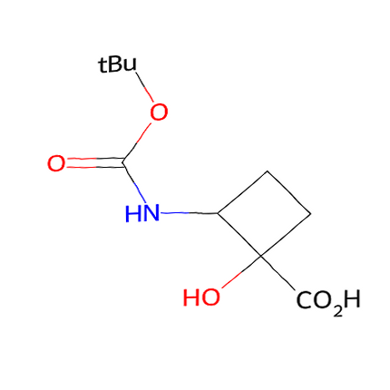 CC(C)(C)OC(=O)NC1CCC1(O)C(=O)O